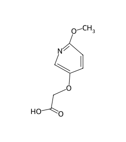 COc1ccc(OCC(=O)O)cn1